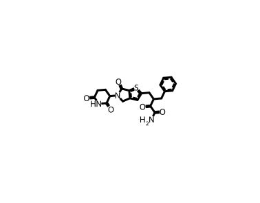 NC(=O)C(=O)C(Cc1ccccc1)Cc1cc2c(s1)C(=O)N(C1CCC(=O)NC1=O)C2